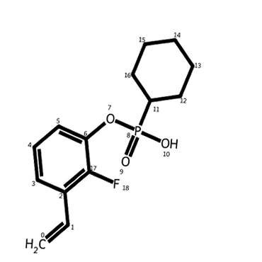 C=Cc1cccc(OP(=O)(O)C2CCCCC2)c1F